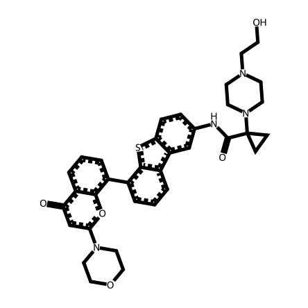 O=C(Nc1ccc2sc3c(-c4cccc5c(=O)cc(N6CCOCC6)oc45)cccc3c2c1)C1(N2CCN(CCO)CC2)CC1